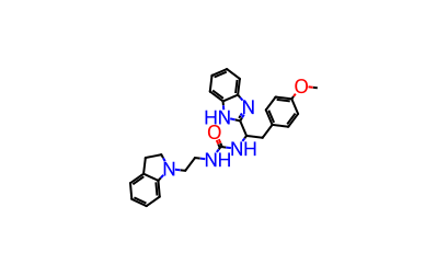 COc1ccc(CC(NC(=O)NCCN2CCc3ccccc32)c2nc3ccccc3[nH]2)cc1